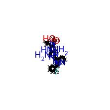 CC(C)(C)C1C(Nc2c(N)nc(-c3nn(Cc4ccccc4F)c4ncccc34)nc2N)CN1C(=O)O